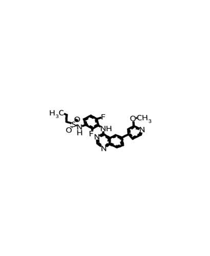 CCCS(=O)(=O)Nc1ccc(F)c(Nc2ncnc3ccc(-c4ccnc(OC)c4)cc23)c1F